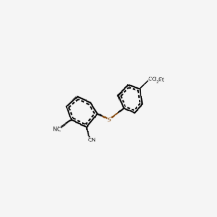 CCOC(=O)c1ccc(Sc2cccc(C#N)c2C#N)cc1